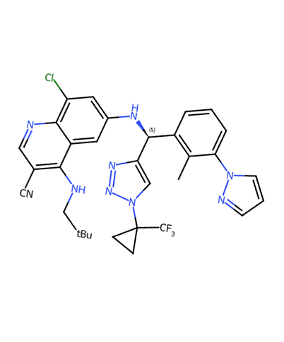 Cc1c([C@H](Nc2cc(Cl)c3ncc(C#N)c(NCC(C)(C)C)c3c2)c2cn(C3(C(F)(F)F)CC3)nn2)cccc1-n1cccn1